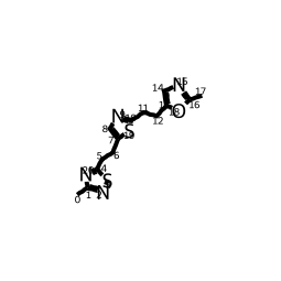 Cc1nsc(CCc2cnc(CCc3cnc(C)o3)s2)n1